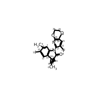 CC#CC(=O)N(c1cc(C)c(I)cc1C1CC1)c1nc2c(cc1F)OCCO2